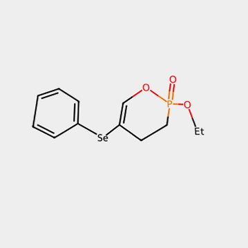 CCOP1(=O)CCC([Se]c2ccccc2)=CO1